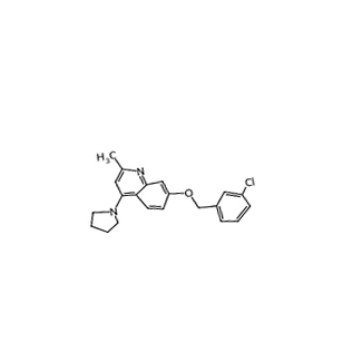 Cc1cc(N2CCCC2)c2ccc(OCc3cccc(Cl)c3)cc2n1